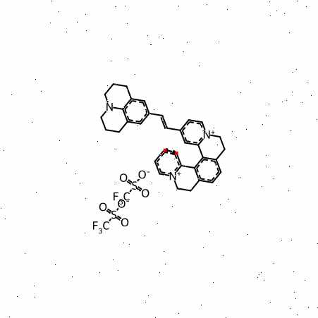 C(=C\c1cc[n+]2c(c1)-c1c(ccc3c1-c1c4ccccc4cc[n+]1CC3)CC2)/c1cc2c3c(c1)CCCN3CCC2.O=S(=O)([O-])C(F)(F)F.O=S(=O)([O-])C(F)(F)F